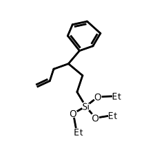 C=CCC(CC[Si](OCC)(OCC)OCC)c1ccccc1